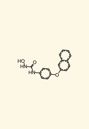 O=C(NO)Nc1ccc(Oc2ccc3ccccc3c2)cc1